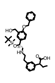 CCC(C(=O)O)c1cccc(CCNC[C@H](O[Si](C)(C)C(C)(C)C)c2ccc(OCc3ccccc3)c(CO)c2)c1